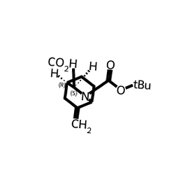 C=C1C[C@H]2CCC1N(C(=O)OC(C)(C)C)[C@@H]2C(=O)O